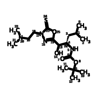 CC(C)C[C@H](NC(=O)OC(C)(C)C)C(O)c1nn(CCN(C)C)c(=S)o1